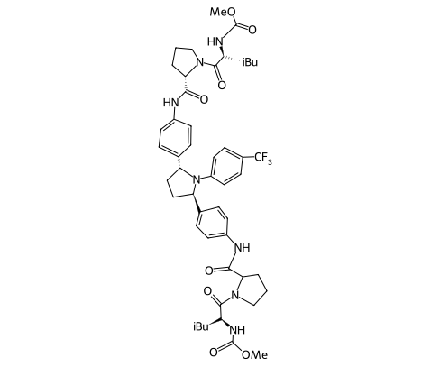 CC[C@H](C)[C@H](NC(=O)OC)C(=O)N1CCCC1C(=O)Nc1ccc([C@H]2CC[C@H](c3ccc(NC(=O)[C@@H]4CCCN4C(=O)[C@@H](NC(=O)OC)[C@@H](C)CC)cc3)N2c2ccc(C(F)(F)F)cc2)cc1